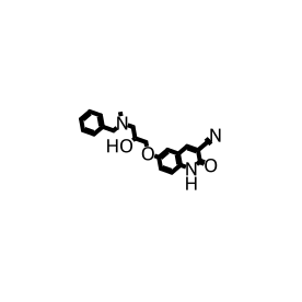 CN(Cc1ccccc1)CC(O)COc1ccc2[nH]c(=O)c(C#N)cc2c1